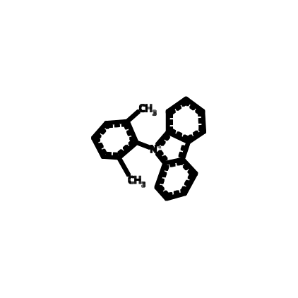 Cc1cccc(C)c1-n1c2ccccc2c2ccccc21